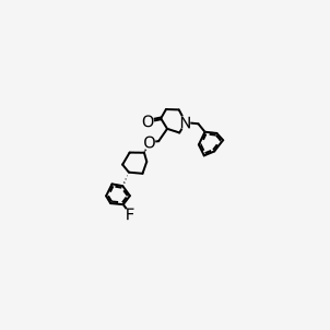 O=C1CCN(Cc2ccccc2)CC1CO[C@H]1CC[C@@H](c2cccc(F)c2)CC1